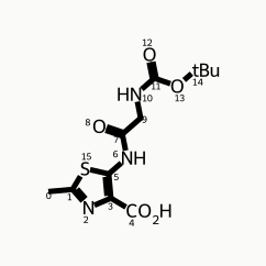 Cc1nc(C(=O)O)c(NC(=O)CNC(=O)OC(C)(C)C)s1